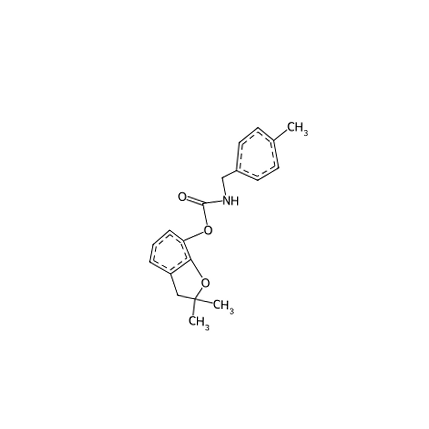 Cc1ccc(CNC(=O)Oc2cccc3c2OC(C)(C)C3)cc1